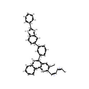 C/C=C\C=C/c1nc2c(cc1C)c(-c1cccc(-c3ccc4sc(-c5ccccc5)nc4c3)c1)nc1ccccc12